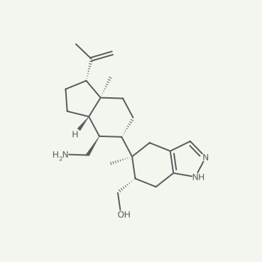 C=C(C)[C@H]1CC[C@H]2[C@H](CN)[C@@H]([C@@]3(C)Cc4cn[nH]c4C[C@@H]3CO)CC[C@]12C